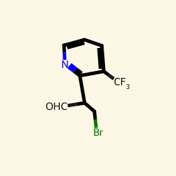 O=CC(CBr)c1ncccc1C(F)(F)F